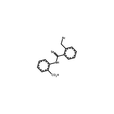 CC(=O)Cc1ccccc1C(=[Se])Nc1ccccc1C(=O)O